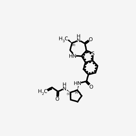 C=CC(=O)N[C@H]1CCC[C@H]1NC(=O)c1ccc2sc3c(c2c1)NC[C@@H](C)NC3=O